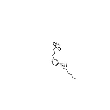 CCC=CCCNc1cccc(CCCC(=O)O)c1